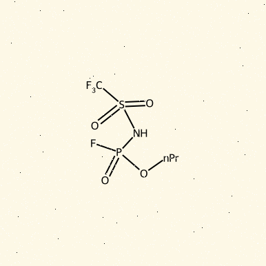 CCCOP(=O)(F)NS(=O)(=O)C(F)(F)F